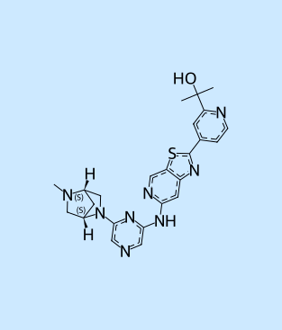 CN1C[C@@H]2C[C@H]1CN2c1cncc(Nc2cc3nc(-c4ccnc(C(C)(C)O)c4)sc3cn2)n1